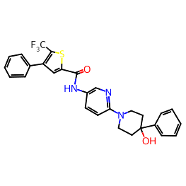 O=C(Nc1ccc(N2CCC(O)(c3ccccc3)CC2)nc1)c1cc(-c2ccccc2)c(C(F)(F)F)s1